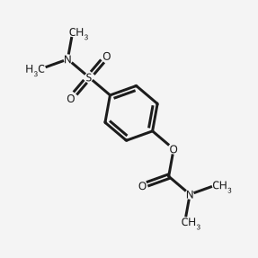 CN(C)C(=O)Oc1ccc(S(=O)(=O)N(C)C)cc1